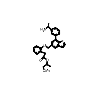 COCC(C)OC(=O)Cc1ccccc1OCc1cc(-c2cccc([C@H](C)N)c2)c2occc2c1